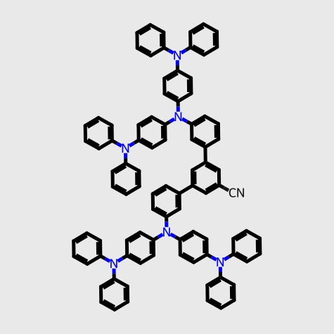 N#Cc1cc(-c2cccc(N(c3ccc(N(c4ccccc4)c4ccccc4)cc3)c3ccc(N(c4ccccc4)c4ccccc4)cc3)c2)cc(-c2cccc(N(c3ccc(N(c4ccccc4)c4ccccc4)cc3)c3ccc(N(c4ccccc4)c4ccccc4)cc3)c2)c1